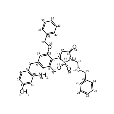 Cc1ccc(Cc2cc(F)c(N3CC(=O)N(COCc4ccccc4)S3(=O)=O)c(OCc3ccccc3)c2)c(N)c1